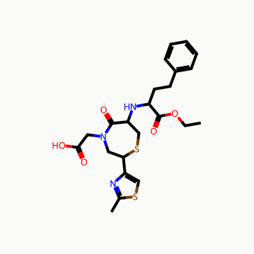 CCOC(=O)C(CCc1ccccc1)NC1CSC(c2csc(C)n2)CN(CC(=O)O)C1=O